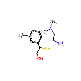 CN(C)CCN.O=[N+]([O-])c1cccc(C(S)CO)c1